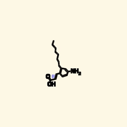 CCCCCCCCc1cc(N)ccc1/C=C/C(=O)O